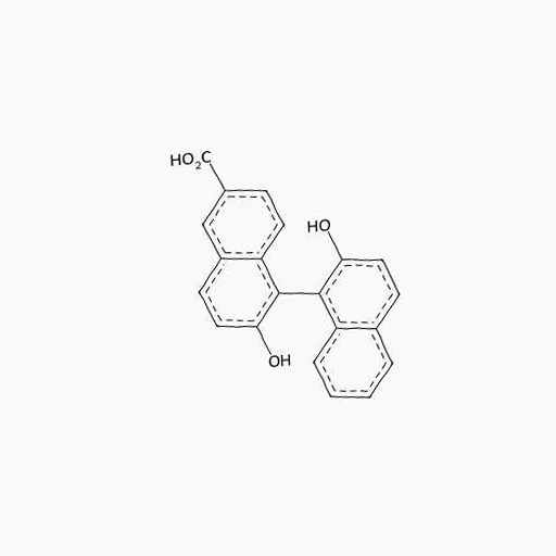 O=C(O)c1ccc2c(-c3c(O)ccc4ccccc34)c(O)ccc2c1